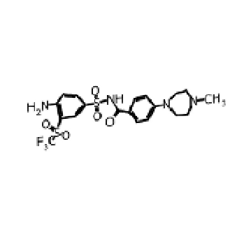 CN1CCN(c2ccc(C(=O)NS(=O)(=O)c3ccc(N)c(S(=O)(=O)C(F)(F)F)c3)cc2)CC1